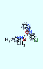 Cc1ccc(CNC(=O)CCc2oc(-n3cnc4ccccc43)nc2-c2ccc(Cl)cc2)c(C)c1